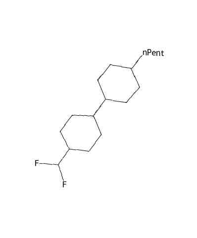 CCCCCC1CCC(C2CCC(C(F)F)CC2)CC1